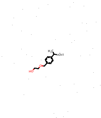 CCCCCCCCC(C)c1ccc(COCCO)cc1